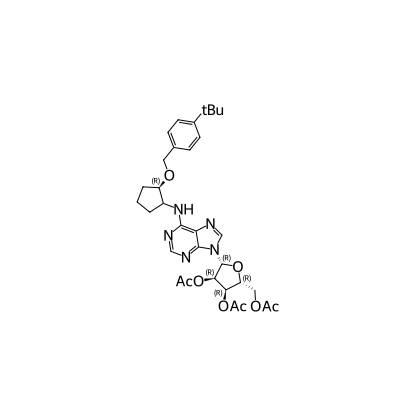 CC(=O)OC[C@H]1O[C@@H](n2cnc3c(NC4CCC[C@H]4OCc4ccc(C(C)(C)C)cc4)ncnc32)[C@H](OC(C)=O)[C@@H]1OC(C)=O